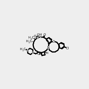 C[C@@H]1[C@@H](C)CCC[C@@](O)(CN2CCN(C)CC2)[C@@H]2CC[C@H]2CN2CCCCc3cc(Cl)ccc3COc3ccc(cc32)C(=O)NS1(=O)=O